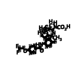 CC1(C)C(NC(=O)O)=N[C@](C)(c2cc(NC(=O)c3ccc(OCC(F)F)cn3)ccc2F)[C@@H]2CCN[S@@]21O